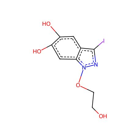 OCCOn1nc(I)c2cc(O)c(O)cc21